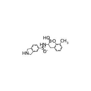 Cc1cccc2c1OB(O)C(N[S+]([O-])c1ccc3c(c1)CNC3)C2